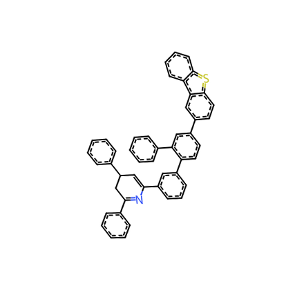 C1=C(c2cccc(-c3ccc(-c4ccc5sc6ccccc6c5c4)cc3-c3ccccc3)c2)N=C(c2ccccc2)CC1c1ccccc1